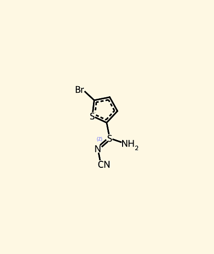 N#C/N=S(\N)c1ccc(Br)s1